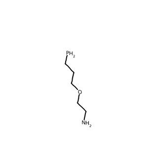 NCCOCCCP